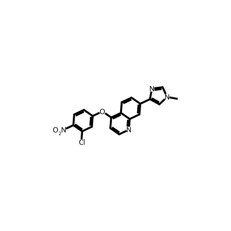 Cn1cnc(-c2ccc3c(Oc4ccc([N+](=O)[O-])c(Cl)c4)ccnc3c2)c1